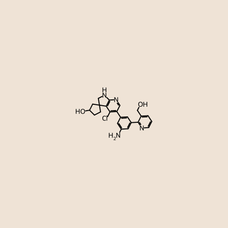 Nc1cc(-c2cnc3c(c2Cl)C2(CCC(O)C2)CN3)cc(-c2ncccc2CO)c1